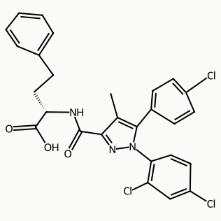 Cc1c(C(=O)N[C@@H](CCc2ccccc2)C(=O)O)nn(-c2ccc(Cl)cc2Cl)c1-c1ccc(Cl)cc1